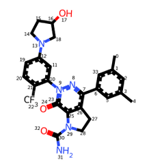 Cc1cc(C)cc(-c2nn(-c3cc(N4CCC(O)C4)ccc3C(F)(F)F)c(=O)c3c2CCN3C(N)=O)c1